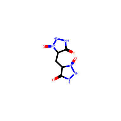 O=C1NN[N+](=O)C1CC1C(=O)NN[N+]1=O